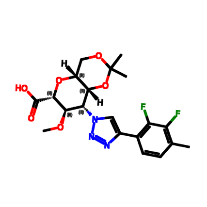 CO[C@@H]1[C@@H](n2cc(-c3ccc(C)c(F)c3F)nn2)[C@H]2OC(C)(C)OC[C@H]2O[C@H]1C(=O)O